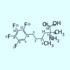 CC(CCc1cc(F)c(F)c(F)c1F)CC(C)(N)C(=O)O